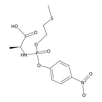 CSCCOP(=O)(N[C@@H](C)C(=O)O)Oc1ccc([N+](=O)[O-])cc1